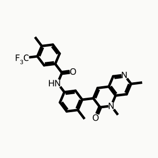 Cc1cc2c(cn1)cc(-c1cc(NC(=O)c3ccc(C)c(C(F)(F)F)c3)ccc1C)c(=O)n2C